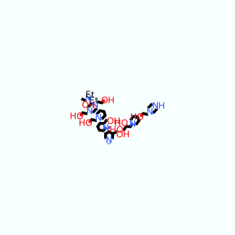 CCN(CC)C(C)O.CN1CCCC(CO)C1.CN1CCCCC1CO.OCC(O)CN1CCCCC1.OCCN1CCCCC1.OCCN1CCN(CCO)CC1.OCCN1CCNCC1